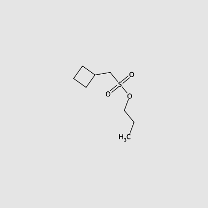 CCCOS(=O)(=O)CC1CCC1